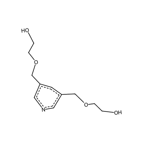 OCCOCc1cncc(COCCO)c1